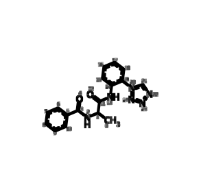 CC(NC(=O)c1ccccc1)C(=O)Nc1ccccc1-n1cnnn1